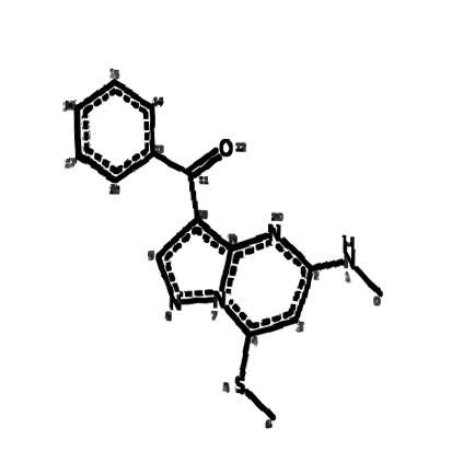 CNc1cc(SC)n2ncc(C(=O)c3ccccc3)c2n1